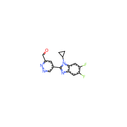 O=Cc1cc(-c2nc3cc(F)c(F)cc3n2C2CC2)cnn1